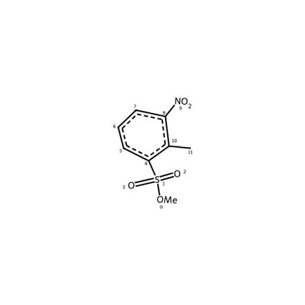 COS(=O)(=O)c1cccc([N+](=O)[O-])c1C